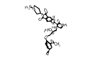 COc1cc(C#N)ccc1OC[C@H](O)CNc1cc[nH]c(=O)c1-c1nc2cc3c(cc2[nH]1)C(=O)N(C1CCN(C)CC1)C3=O